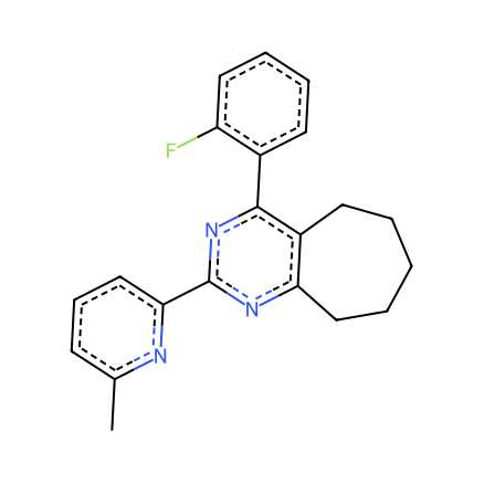 Cc1cccc(-c2nc3c(c(-c4ccccc4F)n2)CCCCC3)n1